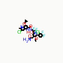 CCOc1c(CC(N)=O)cc([C@@](O)(CNC(=O)c2cc(OC3CC3)c3nc(C)c(Cl)cc3c2)C(F)(F)F)nc1-c1ccc(F)c(F)c1Cl